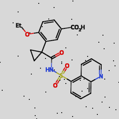 CCOc1ccc(C(=O)O)cc1C1(C(=O)NS(=O)(=O)c2cccc3ncccc23)CC1